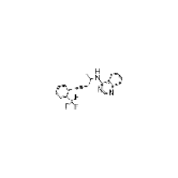 CC(CC#Cc1ccccc1C(F)(F)F)Nc1ncnc2ccccc12